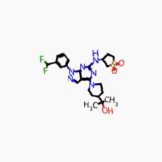 CC(C)(O)C1CCN(c2nc(N[C@H]3CCS(=O)(=O)C3)nc3c2cnn3-c2cccc(C(F)F)c2)CC1